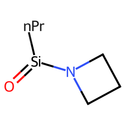 [CH2]CC[Si](=O)N1CCC1